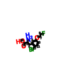 NC(Cc1cc(OCCF)ccc1Br)C(=O)O